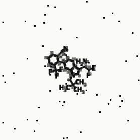 CC(C)(C)Cn1cc([C@H](N)C(F)F)c2ccc(-c3c(C#N)cccc3C(F)(F)F)cc21